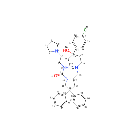 O=C(NCCN1CCCC1)NCC(CCCN1CCC(O)(c2ccc(Cl)cc2)CC1)(c1ccccc1)c1ccccc1